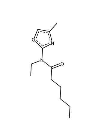 CCCCCC(=O)N(CC)c1nc(C)co1